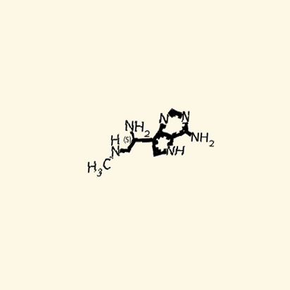 CNC[C@@H](N)c1c[nH]c2c(N)ncnc12